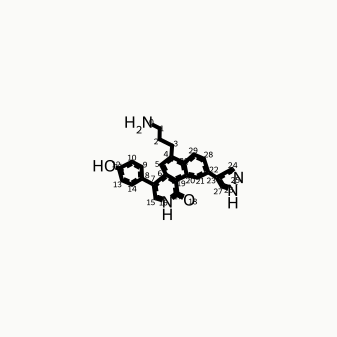 NCCCc1cc2c(-c3ccc(O)cc3)c[nH]c(=O)c2c2cc(-c3cn[nH]c3)ccc12